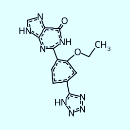 CCOc1cc(-c2nnn[nH]2)ccc1-c1nc2[nH]cnc2c(=O)[nH]1